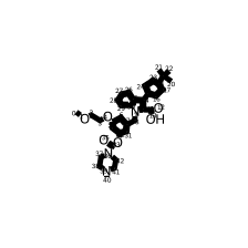 COCCOc1cc(Cn2c(C(=O)O)c(-c3ccc(C(C)(C)C)cc3)c3ccccc32)cc(OC(=O)N2CCN(C)CC2)c1